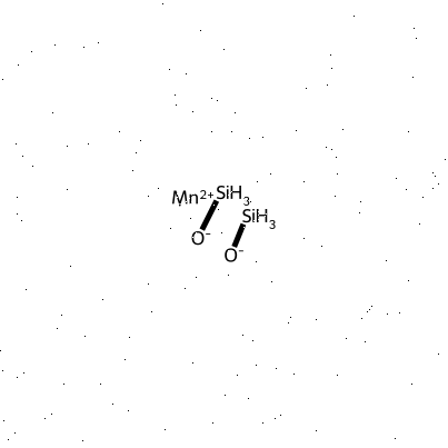 [Mn+2].[O-][SiH3].[O-][SiH3]